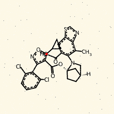 Cc1c(N2C[C@H]3CC[C@]2(OC(=O)c2c(-c4c(Cl)cccc4Cl)noc2C2CC2)C3)c(C(=O)O)cc2scnc12